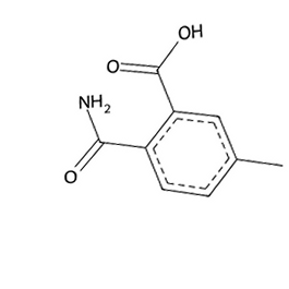 Cc1ccc(C(N)=O)c(C(=O)O)c1